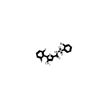 CC1=CC(C(=O)NS(=O)(=O)c2ccccc2Br)=NC1c1c(F)cccc1F